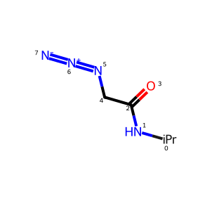 CC(C)NC(=O)CN=[N+]=[N-]